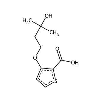 CC(C)(O)CCOc1ccsc1C(=O)O